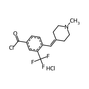 CN1CCC(=Cc2ccc(C(=O)Cl)cc2C(F)(F)F)CC1.Cl